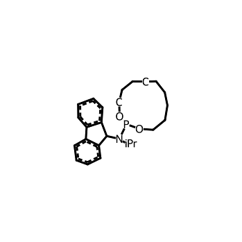 CC(C)N(C1c2ccccc2-c2ccccc21)P1OCCCCCCCCCO1